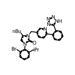 CCCCc1cn(-c2c(Br)cccc2C(C)C)c(=O)n1Cc1ccc(-c2ccccc2-c2nnn[nH]2)nc1